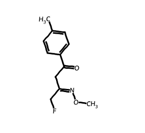 CON=C(CF)CC(=O)c1ccc(C)cc1